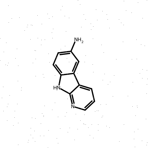 Nc1ccc2[nH]c3ncccc3c2c1